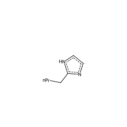 CCCCc1n[c]c[nH]1